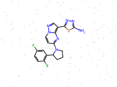 Nc1nnc(-c2cnn3ccc(N4CCCC4c4cc(F)ccc4F)nc23)s1